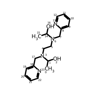 CC(O)N(CCN(Cc1ccccn1)C(C)O)Cc1ccccn1